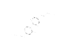 CCCCCCCCCCCCOc1cnc(-c2ccc(OCCCCCCC)cc2F)nc1